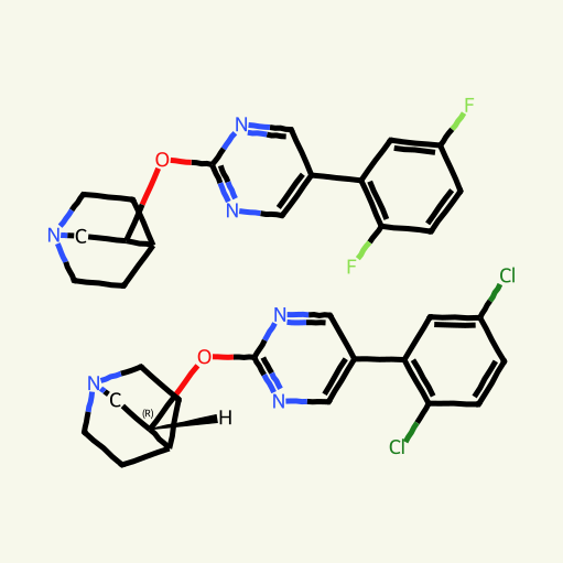 Clc1ccc(Cl)c(-c2cnc(O[C@H]3CN4CCC3CC4)nc2)c1.Fc1ccc(F)c(-c2cnc(OC3CN4CCC3CC4)nc2)c1